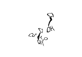 O.OCl.OCl.[Cu]